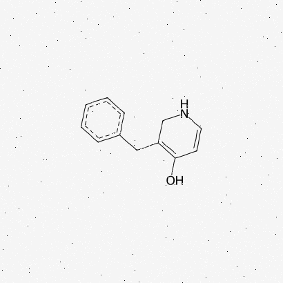 OC1=C(Cc2ccccc2)CNC=C1